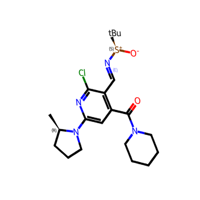 C[C@@H]1CCCN1c1cc(C(=O)N2CCCCC2)c(/C=N/[S@+]([O-])C(C)(C)C)c(Cl)n1